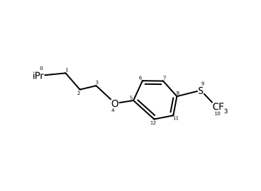 CC(C)CCCOc1ccc(SC(F)(F)F)cc1